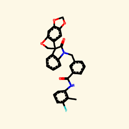 Cc1c(F)cccc1NC(=O)c1cccc(CN2C(=O)C3(COc4cc5c(cc43)OCO5)c3ccccc32)c1